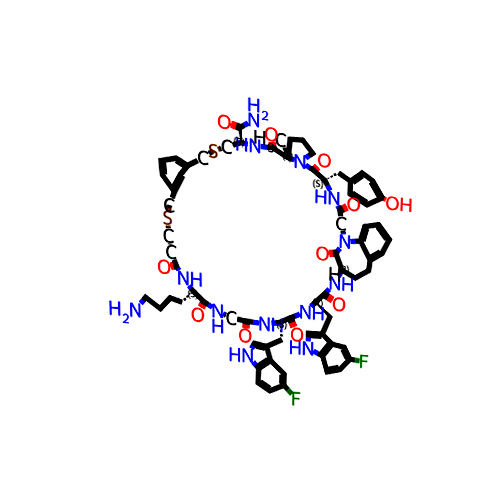 C[C@@]12CCCN1C(=O)[C@H](Cc1ccc(O)cc1)NC(=O)CN1C(=O)[C@@H](CCc3ccccc31)NC(=O)[C@@H](Cc1c[nH]c3ccc(F)cc13)NC(=O)[C@H](Cc1c[nH]c3ccc(F)cc13)NC(=O)CNC(=O)[C@H](CCCCN)NC(=O)CCSCc1cccc(c1)CSC[C@@H](C(N)=O)NC2=O